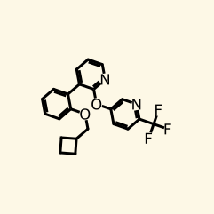 FC(F)(F)c1ccc(Oc2ncccc2-c2ccccc2OCC2CCC2)cn1